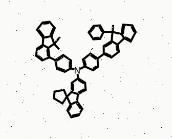 CC1(C)c2ccccc2-c2cccc(-c3ccc(N(c4ccc(-c5ccc6c(c5)C(C)(c5ccccc5)c5ccccc5-6)cc4)c4ccc5c(c4)C4(CCCC4)c4ccccc4-5)cc3)c21